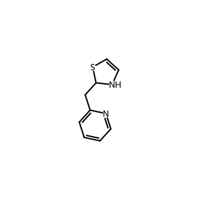 C1=CSC(Cc2ccccn2)N1